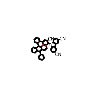 N#Cc1ccc2c(c1)c1cc(C#N)ccc1n2-c1ccc(-c2ccccc2-c2c3ccccc3c(-c3ccccc3)c3ccccc23)cc1C#N